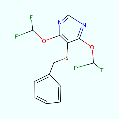 FC(F)Oc1ncnc(OC(F)F)c1SCc1ccccc1